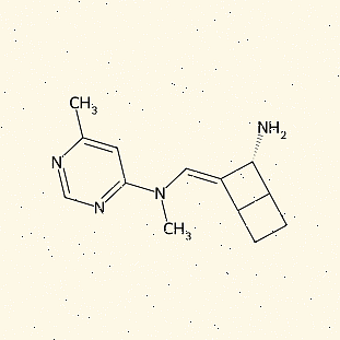 Cc1cc(N(C)/C=C2\C3CCC3[C@H]2N)ncn1